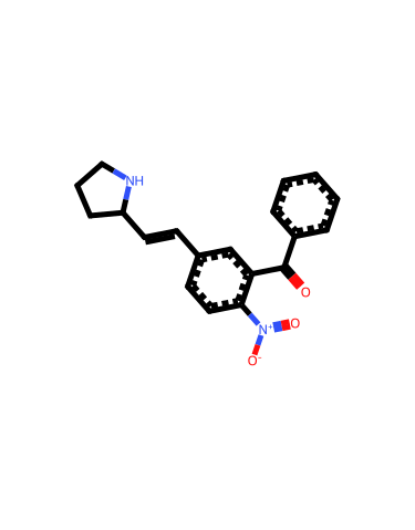 O=C(c1ccccc1)c1cc(/C=C/C2CCCN2)ccc1[N+](=O)[O-]